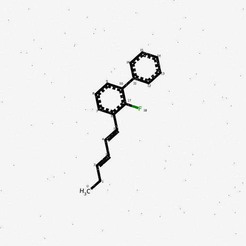 CC/C=C/C=C/c1cccc(-c2ccccc2)c1F